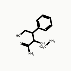 NC(=O)O.NC(=S)C(O)C(CO)c1ccccc1